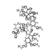 COc1ccc(C(C#N)(CCC[N+](C)(CCc2ccccc2OC(C(=O)O)C(O)(C(=O)O)C(OC)C(=O)O)C2(C)CCCCC2O[N+](=O)[O-])C(C)C)cc1OC.O